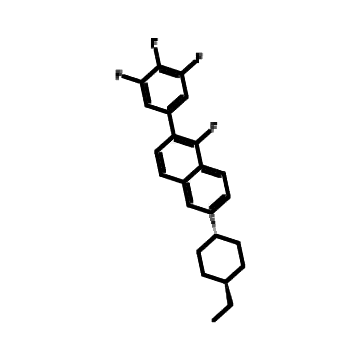 CC[C@H]1CC[C@H](c2ccc3c(F)c(-c4cc(F)c(F)c(F)c4)ccc3c2)CC1